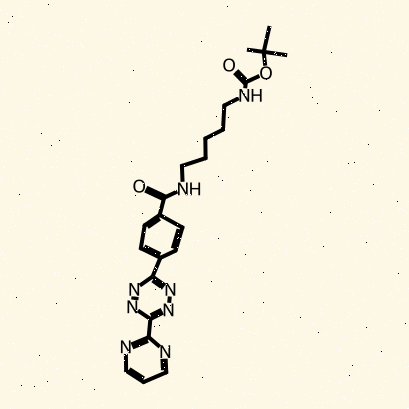 CC(C)(C)OC(=O)NCCCCCNC(=O)c1ccc(-c2nnc(-c3ncccn3)nn2)cc1